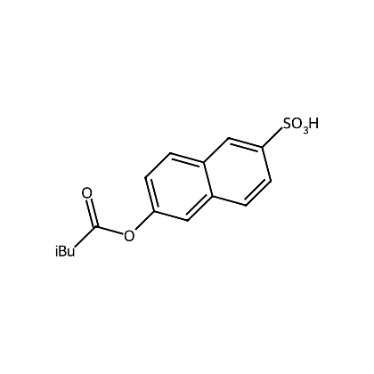 CCC(C)C(=O)Oc1ccc2cc(S(=O)(=O)O)ccc2c1